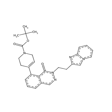 CC(C)(C)OC(=O)N1CC=C(c2cccc3cnn(CCc4cn5ccccc5n4)c(=O)c23)CC1